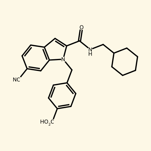 N#Cc1ccc2cc(C(=O)NCC3CCCCC3)n(Cc3ccc(C(=O)O)cc3)c2c1